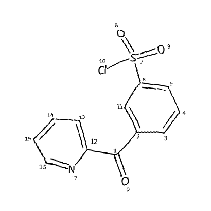 O=C(c1cccc(S(=O)(=O)Cl)c1)c1ccccn1